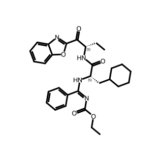 CCOC(=O)N=C(N[C@@H](CC1CCCCC1)C(=O)N[C@@H](CC)C(=O)c1nc2ccccc2o1)c1ccccc1